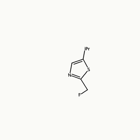 CC(C)c1cnc(CF)s1